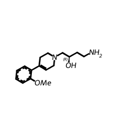 COc1ccccc1C1=CCN(C[C@H](O)CCN)CC1